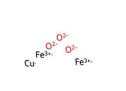 [Cu].[Fe+3].[Fe+3].[O-2].[O-2].[O-2]